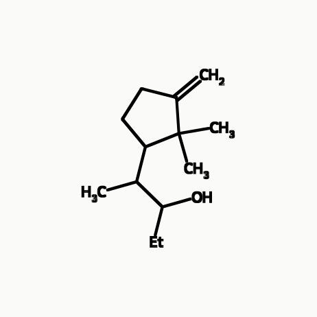 C=C1CCC(C(C)C(O)CC)C1(C)C